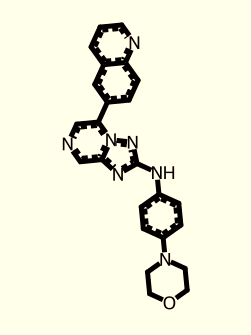 c1cnc2ccc(-c3cncc4nc(Nc5ccc(N6CCOCC6)cc5)nn34)cc2c1